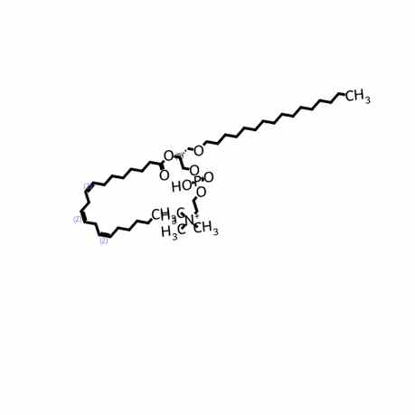 CCCCC/C=C\C/C=C\C/C=C\CCCCCCC(=O)O[C@H](COCCCCCCCCCCCCCCCC)COP(=O)(O)OCC[N+](C)(C)C